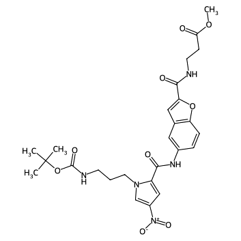 COC(=O)CCNC(=O)c1cc2cc(NC(=O)c3cc([N+](=O)[O-])cn3CCCNC(=O)OC(C)(C)C)ccc2o1